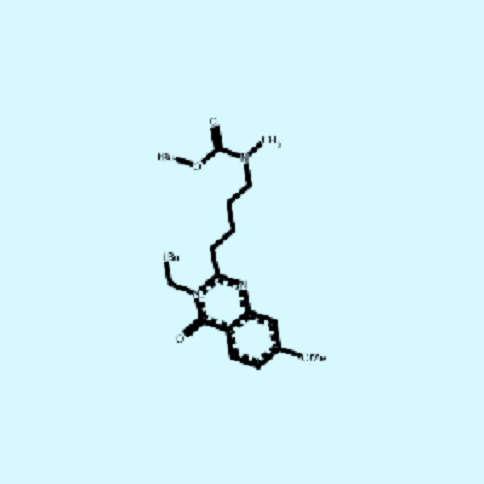 COc1ccc2c(=O)n(CC(C)(C)C)c(CCCCN(C)C(=O)OC(C)(C)C)nc2c1